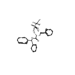 O=C(OC(c1ccccc1)c1ccccc1)[C@@H](CCc1ccccc1)OS(=O)(=O)C(F)(F)F